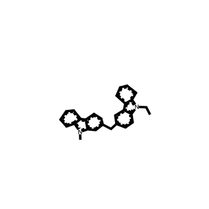 CCn1c2ccccc2c2cc(Cc3ccc4c5ccccc5n(C)c4c3)ccc21